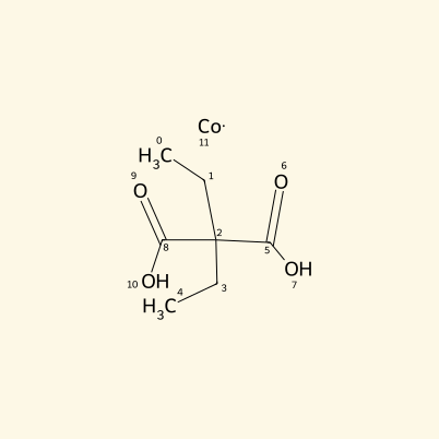 CCC(CC)(C(=O)O)C(=O)O.[Co]